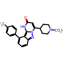 O=C(O)N1CCC(c2cc(=O)[nH]c3c4c(-c5ccc(C(F)(F)F)cc5)cccc4nn23)CC1